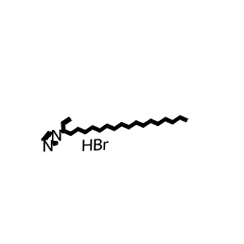 Br.C=CC(CCCCCCCCCCCCCCCCC)n1ccnc1